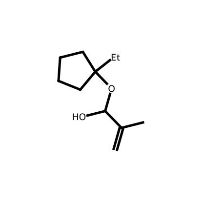 C=C(C)C(O)OC1(CC)CCCC1